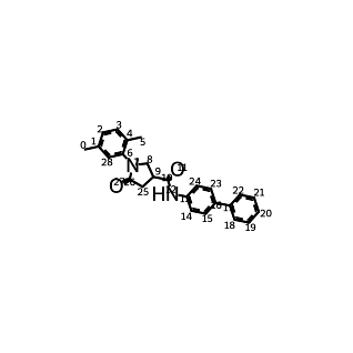 Cc1ccc(C)c(N2CC(C(=O)Nc3ccc(-c4ccccc4)cc3)CC2=O)c1